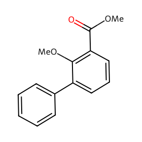 COC(=O)c1cccc(-c2ccccc2)c1OC